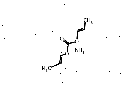 CC=COC(=O)OC=CC.N